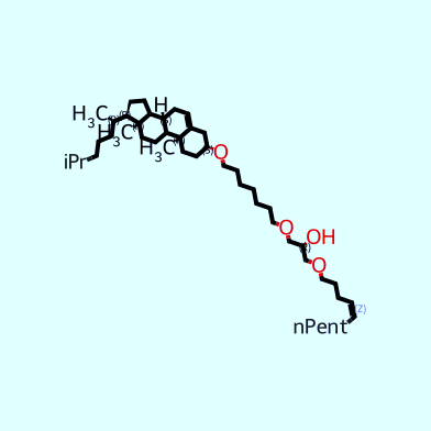 CCCCC/C=C\CCCOC[C@H](O)COCCCCCCCO[C@H]1CC[C@@]2(C)C(=CC[C@@H]3C2CC[C@@]2(C)C3CC[C@@H]2[C@H](C)CCCC(C)C)C1